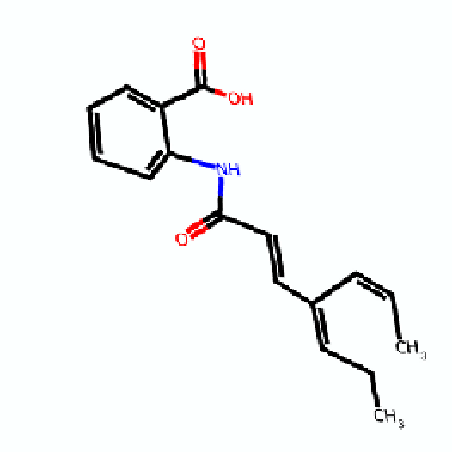 C\C=C/C(/C=C/C(=O)Nc1ccccc1C(=O)O)=C\CC